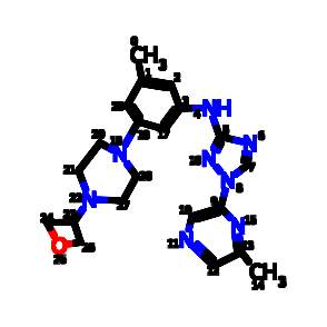 Cc1cc(Nc2ncn(-c3cncc(C)n3)n2)cc(N2CCN(C3COC3)CC2)c1